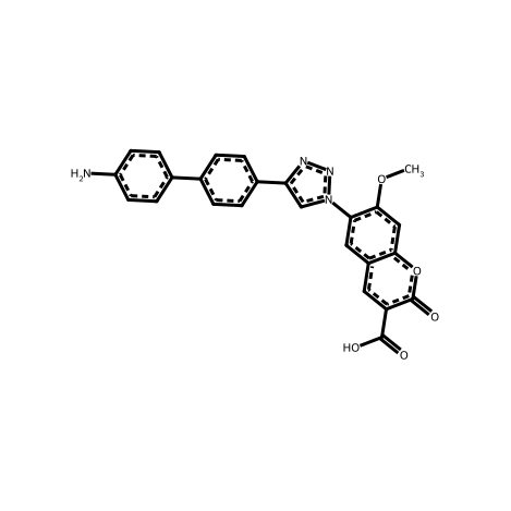 COc1cc2oc(=O)c(C(=O)O)cc2cc1-n1cc(-c2ccc(-c3ccc(N)cc3)cc2)nn1